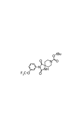 CC(C)(C)OC(=O)N1CCC2(CC1)NC(=O)N(c1cccc(OC(F)(F)F)c1)C2=O